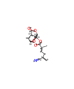 C=C(C#N)C/C=C(\C)C(=O)Oc1c2c3oc1cc3C(=O)O2